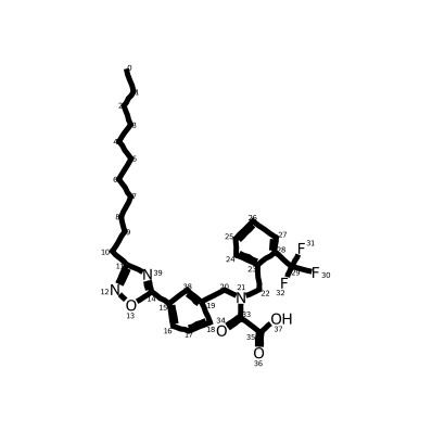 CCCCCCCCCCCc1noc(-c2cccc(CN(Cc3ccccc3C(F)(F)F)C(=O)C(=O)O)c2)n1